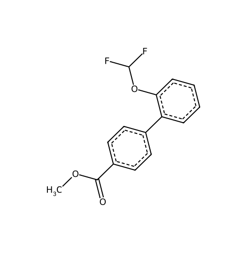 COC(=O)c1ccc(-c2ccccc2OC(F)F)cc1